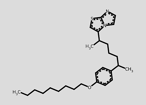 CCCCCCCCCOc1ccc(C(C)CCCC(C)c2csc3nccn23)cc1